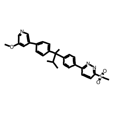 COc1cncc(-c2ccc(C(C)(c3ccc(-c4ccc(S(C)(=O)=O)nn4)cc3)C(C)C)cc2)c1